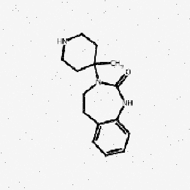 CC1(N2CCc3ccccc3NC2=O)CCNCC1